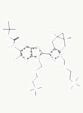 CC(C)(C)OC(=O)Nc1cc2nc(-c3nn(COCC[Si](C)(C)C)c4c3C[C@@H]3C[C@]3(C)C4)n(COCC[Si](C)(C)C)c2nc1F